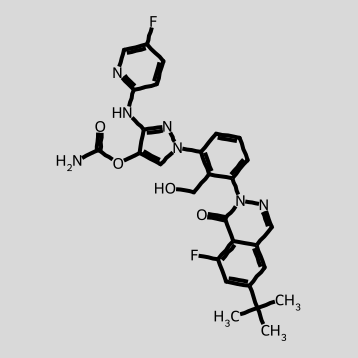 CC(C)(C)c1cc(F)c2c(=O)n(-c3cccc(-n4cc(OC(N)=O)c(Nc5ccc(F)cn5)n4)c3CO)ncc2c1